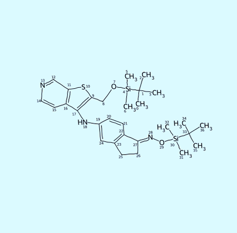 CC(C)(C)[Si](C)(C)OCc1sc2cnccc2c1Nc1ccc2c(c1)CCC2=NO[Si](C)(C)C(C)(C)C